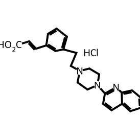 Cl.O=C(O)/C=C/c1cccc(CCN2CCN(c3ccc4ccccc4n3)CC2)c1